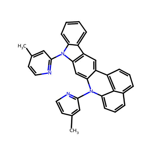 Cc1ccnc(N2c3cc4c(cc3-c3cccc5cccc2c35)c2ccccc2n4-c2cc(C)ccn2)c1